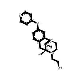 OCCN1CC[C@]23CCCC[C@H]2[C@H]1Cc1ccc(Nc2ccncc2)cc13